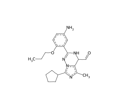 CCCOc1ccc(N)cc1C1=Nn2c(C3CCCC3)nc(C)c2C(C=O)N1